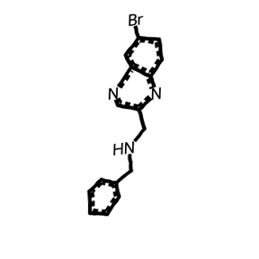 Brc1ccc2nc(CNCc3ccccc3)cnc2c1